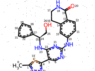 Cc1nnc(-c2cnc(Nc3ccc4c(c3)CCNC4=O)nc2N[C@H](CO)c2ccccc2)s1